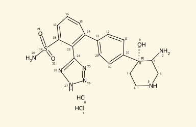 Cl.Cl.NC1CNCC[C@@]1(O)c1ccc(-c2cccc(S(N)(=O)=O)c2-c2nn[nH]n2)cc1